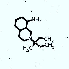 CCC(C)(CC)N1CCC2CCCC(N)C2C1